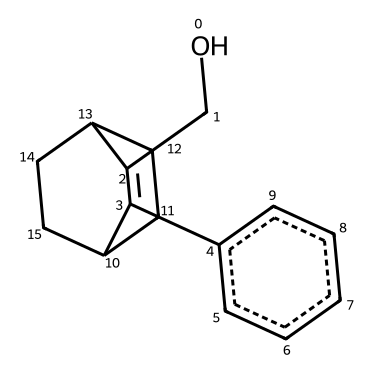 OCC1=C(c2ccccc2)C2CCC1CC2